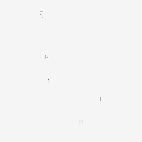 Cc1nc2c(cc1-c1ncccn1)CC[C@@]1(CCNC1)N2